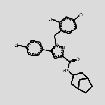 O=C(NC1CC2CCC(C2)C1)c1cc(-c2ccc(Cl)cc2)n(Cc2ccc(Cl)cc2Cl)n1